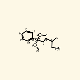 CO[Si](CCC(C)CBr)(OC)c1ccccc1